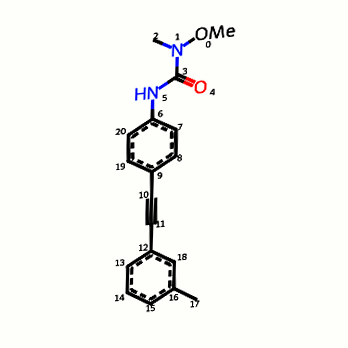 CON(C)C(=O)Nc1ccc(C#Cc2cccc(C)c2)cc1